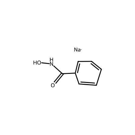 O=C(NO)c1ccccc1.[Na]